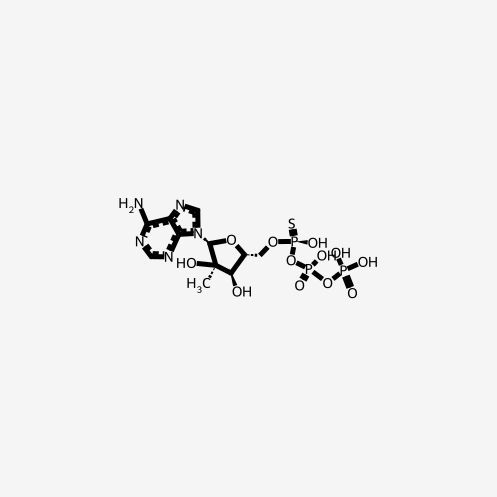 C[C@@]1(O)[C@H](O)[C@@H](CO[P@](O)(=S)OP(=O)(O)OP(=O)(O)O)O[C@H]1n1cnc2c(N)ncnc21